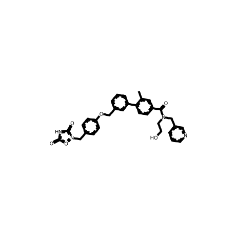 Cc1cc(C(=O)N(CCO)Cc2cccnc2)ccc1-c1cccc(COc2ccc(Cn3oc(=O)[nH]c3=O)cc2)c1